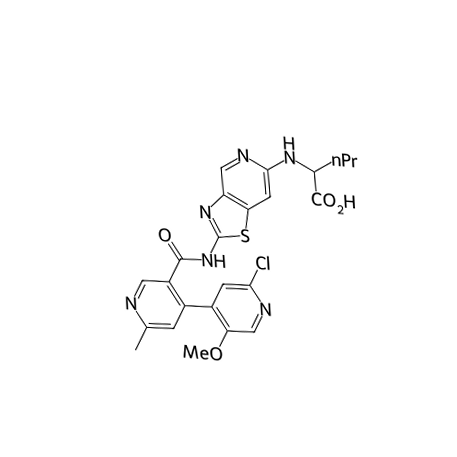 CCCC(Nc1cc2sc(NC(=O)c3cnc(C)cc3-c3cc(Cl)ncc3OC)nc2cn1)C(=O)O